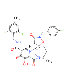 Cc1cc(F)c(CNC(=O)c2cn3c(c(O)c2=O)C(=O)N2C[C@@H]3[C@@]3(CC[C@@H]2C)CC(=O)N(Cc2ccc(F)cc2)O3)c(F)c1